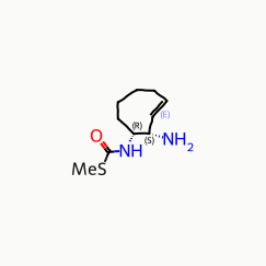 CSC(=O)N[C@@H]1CCCC/C=C/[C@@H]1N